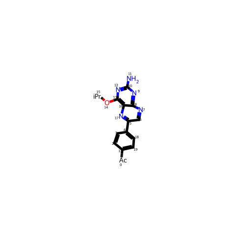 CC(=O)c1ccc(-c2cnc3nc(N)nc(OC(C)C)c3n2)cc1